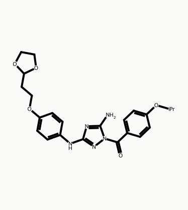 CC(C)Oc1ccc(C(=O)n2nc(Nc3ccc(OCCC4OCCO4)cc3)nc2N)cc1